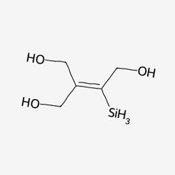 OCC([SiH3])=C(CO)CO